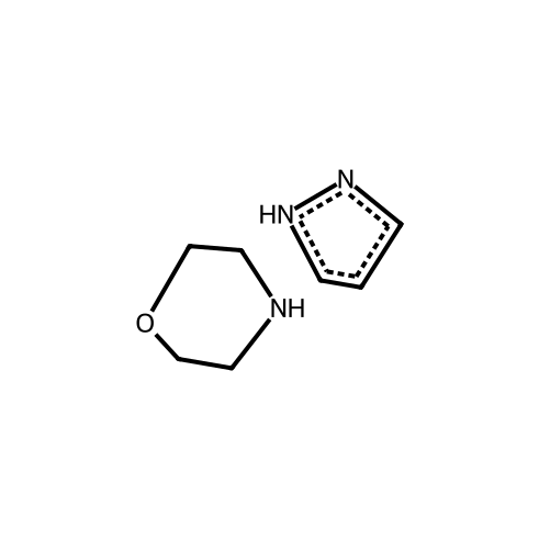 C1COCCN1.c1cn[nH]c1